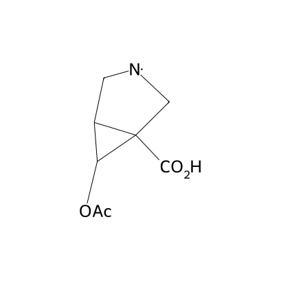 CC(=O)OC1C2C[N]CC21C(=O)O